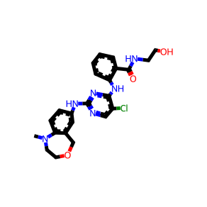 CN1CCOCc2cc(Nc3ncc(Cl)c(Nc4ccccc4C(=O)NCCO)n3)ccc21